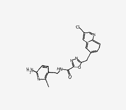 Cc1nc(N)ccc1CNC(=O)c1nnc(Cc2ccc3ncc(Cl)cc3c2)o1